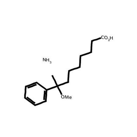 COC(C)(CCCCCCC(=O)O)c1ccccc1.N